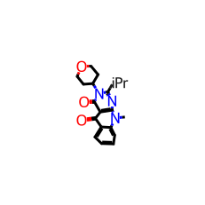 CC(C)c1nc2c(c(=O)c3ccccc3n2C)c(=O)n1C1CCOCC1